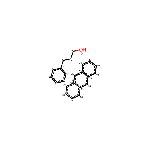 OCCCc1ccccc1.c1ccc2cc3ccccc3cc2c1